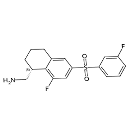 NC[C@@H]1CCCc2cc(S(=O)(=O)c3cccc(F)c3)cc(F)c21